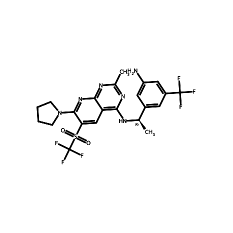 Cc1nc(N[C@H](C)c2cc(N)cc(C(F)(F)F)c2)c2cc(S(=O)(=O)C(F)(F)F)c(N3CCCC3)nc2n1